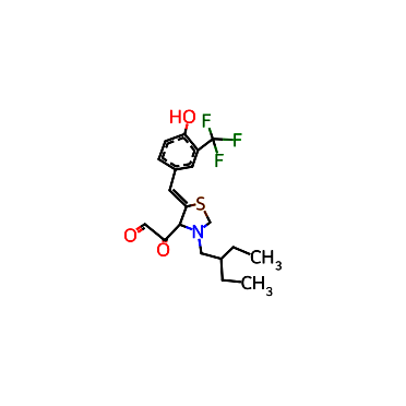 CCC(CC)CN1CSC(=Cc2ccc(O)c(C(F)(F)F)c2)C1C(=O)C=O